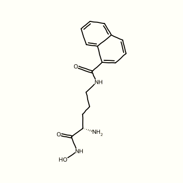 N[C@@H](CCCNC(=O)c1cccc2ccccc12)C(=O)NO